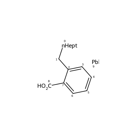 CCCCCCCCc1ccccc1C(=O)O.[Pb]